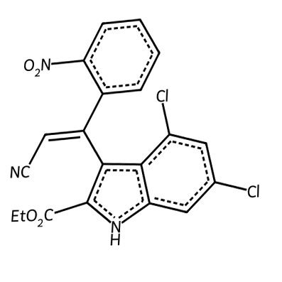 CCOC(=O)c1[nH]c2cc(Cl)cc(Cl)c2c1/C(=C\C#N)c1ccccc1[N+](=O)[O-]